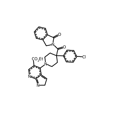 CCOC(=O)c1cnc2c(c1N1CCC(C(=O)N3Cc4ccccc4C3=O)(c3ccc(Cl)cc3)CC1)=CCN=2